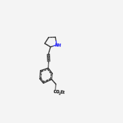 CCOC(=O)Cc1cccc(C#CC2CCCN2)c1